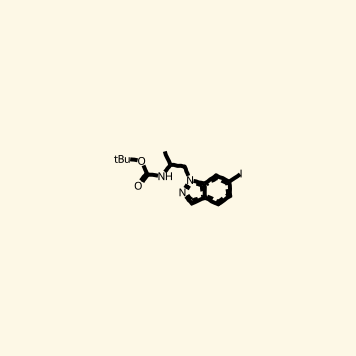 CC(Cn1ncc2ccc(I)cc21)NC(=O)OC(C)(C)C